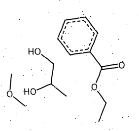 CC(O)CO.CCOC(=O)c1ccccc1.COC